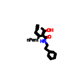 C#C/C=C(CCCCC)\C(C(=O)NCCc1ccccc1)=C(/C)O